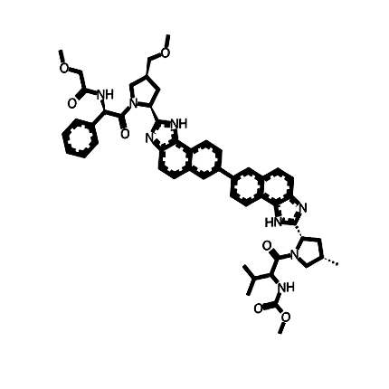 COCC(=O)N[C@@H](C(=O)N1C[C@@H](COC)C[C@H]1c1nc2ccc3cc(-c4ccc5c(ccc6nc([C@@H]7C[C@H](C)CN7C(=O)C(NC(=O)OC)C(C)C)[nH]c65)c4)ccc3c2[nH]1)c1ccccc1